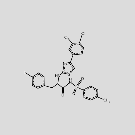 Cc1ccc(S(=O)(=O)NC(=O)C(Cc2ccc(I)cc2)Nc2nc(-c3ccc(Cl)c(Cl)c3)cs2)cc1